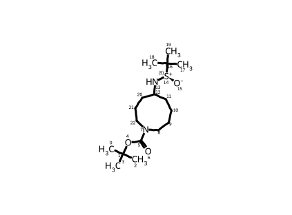 CC(C)(C)OC(=O)N1CCCCC(N[S@+]([O-])C(C)(C)C)CCC1